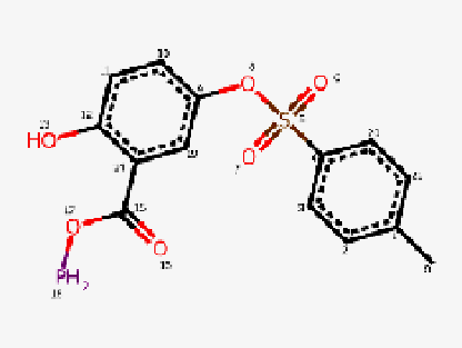 Cc1ccc(S(=O)(=O)Oc2ccc(O)c(C(=O)OP)c2)cc1